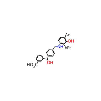 CCCc1c(NCc2ccc(C(O)c3cccc(C(=O)O)c3)cc2)ccc(C(C)=O)c1O